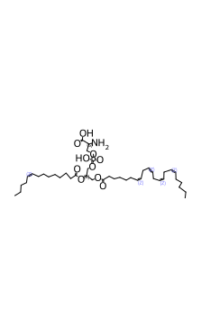 CCCC/C=C\CCCCCCCC(=O)O[C@H](COC(=O)CCCCC/C=C\C/C=C\C/C=C\C/C=C\CCCCC)COP(=O)(O)OC[C@H](N)C(=O)O